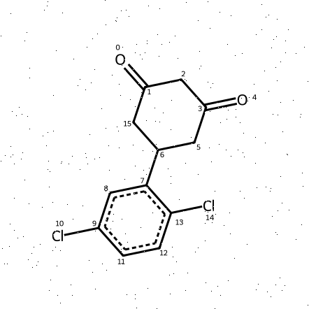 O=C1CC(=O)CC(c2cc(Cl)ccc2Cl)C1